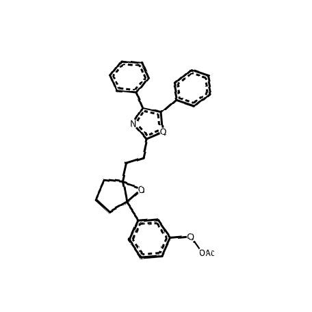 CC(=O)OOc1cccc(C23CCCC2(CCc2nc(-c4ccccc4)c(-c4ccccc4)o2)O3)c1